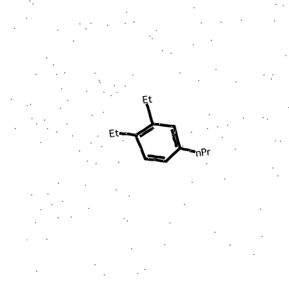 CCCc1ccc(CC)c(CC)c1